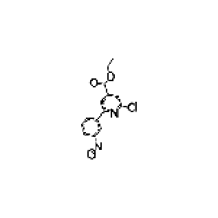 CCOC(=O)c1cc(Cl)nc(-c2cccc(N=O)c2)c1